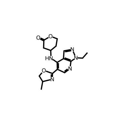 CCn1ncc2c(NC3CCOC(=O)C3)c(C3=NC(C)CO3)cnc21